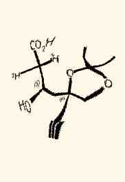 [2H]C([2H])(C(=O)O)[C@H](O)[C@@]1(C#C)COC(C)(C)O1